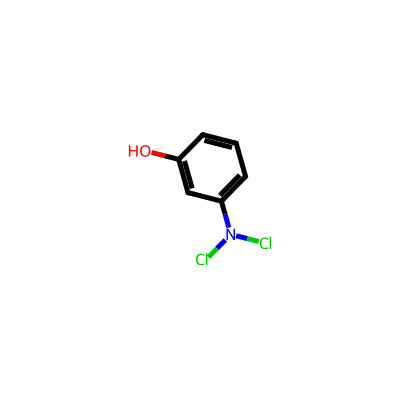 Oc1cccc(N(Cl)Cl)c1